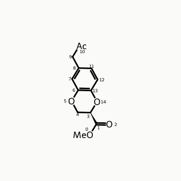 COC(=O)[C@H]1COc2cc(CC(C)=O)ccc2O1